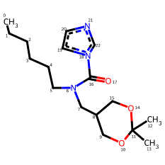 CCCCCCN(CC1COC(C)(C)OC1)C(=O)n1ccnc1